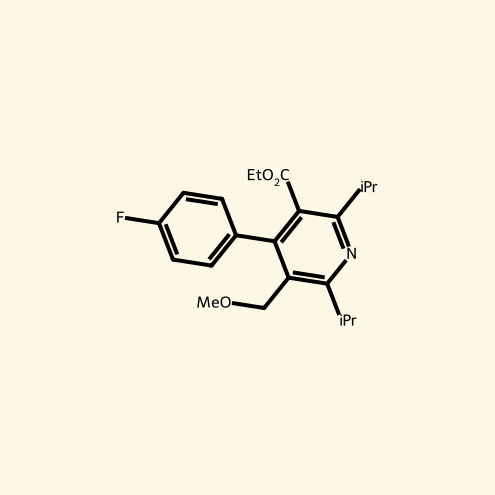 CCOC(=O)c1c(C(C)C)nc(C(C)C)c(COC)c1-c1ccc(F)cc1